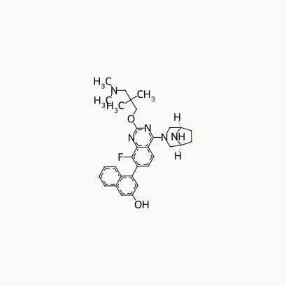 CN(C)CC(C)(C)COc1nc(N2C[C@H]3CC[C@@H](C2)N3)c2ccc(-c3cc(O)cc4ccccc34)c(F)c2n1